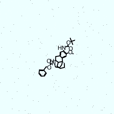 COc1cc2c(cc1NC(=O)OC(C)(C)C)C[C@H]1C3CCCC[C@@]23CCCN1C(=O)OCc1ccccc1